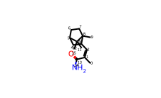 CC(=CC1CC2CCC1(C)C2(C)C)C(N)=O